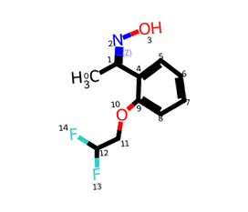 C/C(=N/O)c1ccccc1OCC(F)F